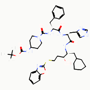 CC(C)(C)OC(=O)NC1CCN(C(=O)N[C@@H](Cc2ccccc2)C(=O)N[C@@H](Cc2c[nH]cn2)C(=O)N[C@@H](CC2CCCCC2)[C@@H](O)CCSc2nc3ccccc3o2)CC1